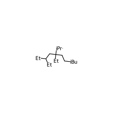 CCC(C)CCC(CC)(CC(CC)CC)[C](C)C